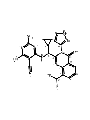 N#Cc1c(N)nc(N)nc1NC(c1nc2c(C(F)F)cccc2c(=O)n1-c1cc[nH]n1)C1CC1